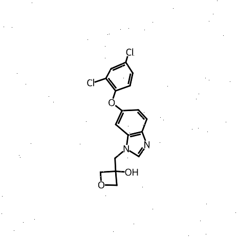 OC1(Cn2cnc3ccc(Oc4ccc(Cl)cc4Cl)cc32)COC1